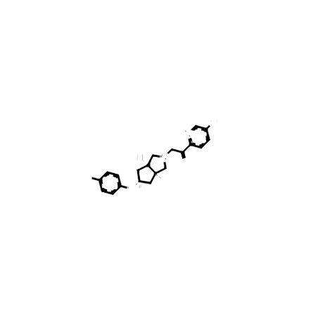 O=C(CN1C[C@H]2C[C@@H](Oc3ccc(F)cc3)C[C@H]2C1)c1ccc(O)cn1